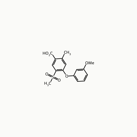 COc1cccc(Oc2cc(C)c(C(=O)O)cc2S(C)(=O)=O)c1